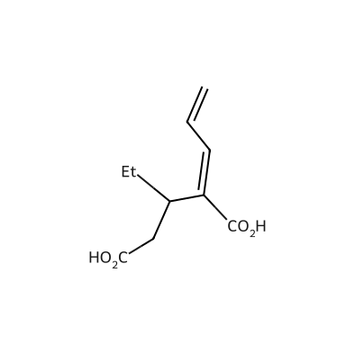 C=CC=C(C(=O)O)C(CC)CC(=O)O